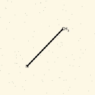 CC#CC#CC#CC#CC#CC#CC#CC#CC#CC#CC#CC#CC#CC#CC#CC#CC#N